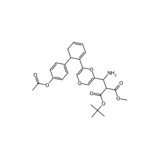 COC(=O)C(C(=O)OC(C)(C)C)C(N)C1=COC=C(C2=CC=CCC2c2ccc(OC(C)=O)cc2)O1